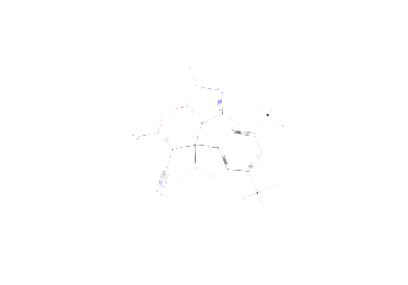 Cc1nn(C)c2c1C(c1cc(C(F)(F)F)cc(C(F)(F)F)c1)(C(C)C)C(C#N)=C(N)O2